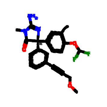 COCC#Cc1cccc([C@]2(c3ccc(OC(F)F)c(C)c3)N=C(N)N(C)C2=O)c1